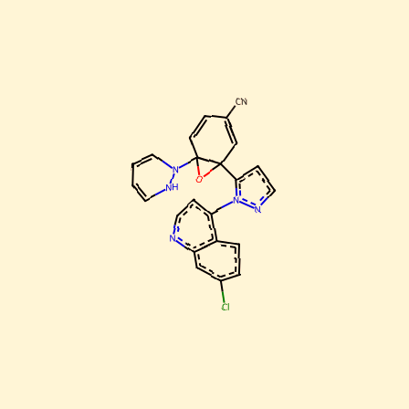 N#CC1=CC2(c3ccnn3-c3ccnc4cc(Cl)ccc34)OC2(N2C=CC=CN2)C=C1